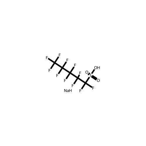 O=S(=O)(O)C(F)(F)C(F)(F)C(F)(F)C(F)(F)C(F)(F)F.[NaH]